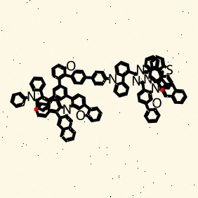 c1ccc(-n2c3ccccc3c3c(-c4cc(-c5ccc6c(oc7ccccc76)c5-n5c6cc7ccccc7cc6c6c7ccccc7ccc65)cc(-c5cccc6oc7cc(-c8ccc(-n9c%10ccccc%10c%10c(-c%11nc(-c%12ccc%13c(oc%14ccccc%14%13)c%12-n%12c%13cc%14ccccc%14cc%13c%13cc%14ccccc%14cc%13%12)nc(-c%12cccc%13sc%14ccccc%14c%12%13)n%11)cccc%109)cc8)ccc7c56)c4)cccc32)cc1